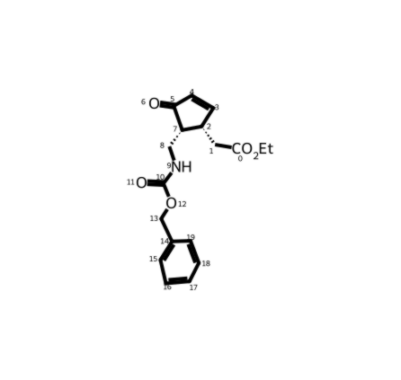 CCOC(=O)C[C@H]1C=CC(=O)[C@H]1CNC(=O)OCc1ccccc1